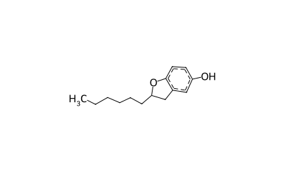 CCCCCCC1Cc2cc(O)ccc2O1